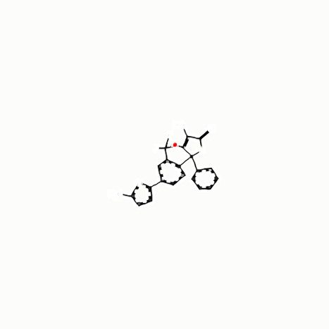 Cc1ccc(-c2ccc(C3(c4ccccc4)OC(=O)C(O)=C3O)c(C(F)(F)F)c2)o1